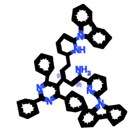 N/C(=C\C(=C/CC1C=CC=C(n2c3ccccc3c3ccccc32)N1)c1c(-c2ccccc2)nc(-c2ccccc2)nc1-c1ccccc1)c1cccc(-n2c3ccccc3c3ccccc32)n1